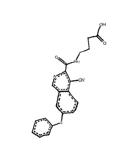 O=C(O)CCCNC(=O)c1ncc2cc(Sc3ccccc3)ccc2c1O